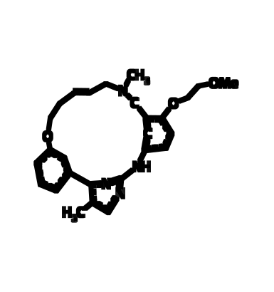 COCCOc1ccc2cc1CN(C)C/C=C/CCOc1cccc(c1)-c1nc(ncc1C)N2